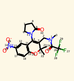 CN(CC1=C(N2CCCC2=O)c2cc([N+](=O)[O-])ccc2OC1(C)C)C(=O)C(F)(F)F